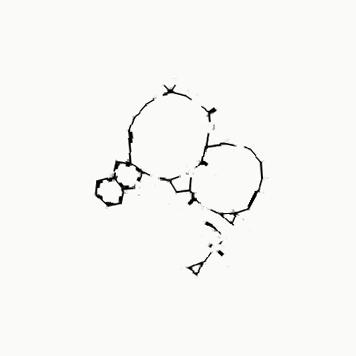 CC1(C)CCC/C=C/c2cc3ccccc3nc2O[C@@H]2C[C@H]3C(=O)N[C@]4(C(=O)NS(=O)(=O)C5CC5)C[C@H]4/C=C\CCCCC[C@H](NC(=O)OC1)C(=O)N3C2